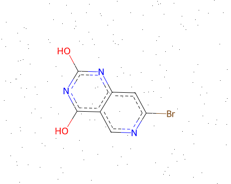 Oc1nc(O)c2cnc(Br)cc2n1